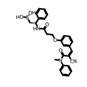 CN(C(=O)C(C#N)=Cc1cccc(OCCC(=O)N[C@@H](CB(O)O)c2ccccc2)c1)c1ccccc1